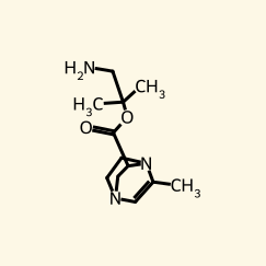 CC1=CN2CCN1C(C(=O)OC(C)(C)CN)C2